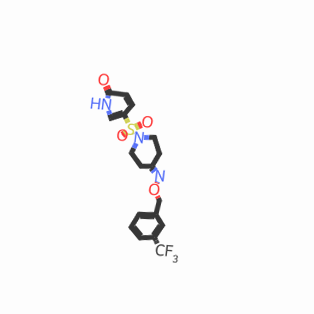 O=c1ccc(S(=O)(=O)N2CCC(=NOCc3cccc(C(F)(F)F)c3)CC2)c[nH]1